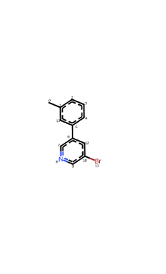 Cc1cccc(-c2cncc(Br)c2)c1